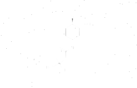 CC(C)(C)OC(=O)N[C@@H]1CC[C@@H](Br)[C@H](O)C1